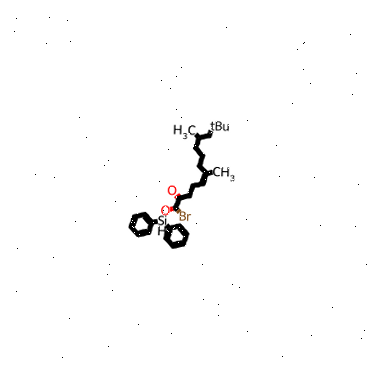 CC(=CCCC(=O)C(Br)O[SiH](c1ccccc1)c1ccccc1)CCCC(C)CC(C)(C)C